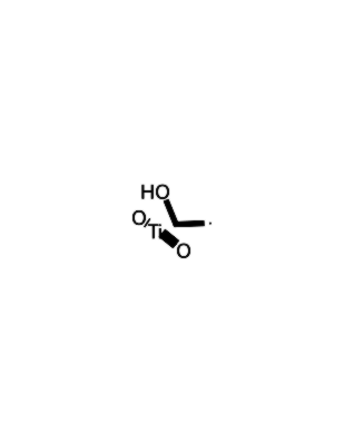 [CH2]CO.[O]=[Ti]=[O]